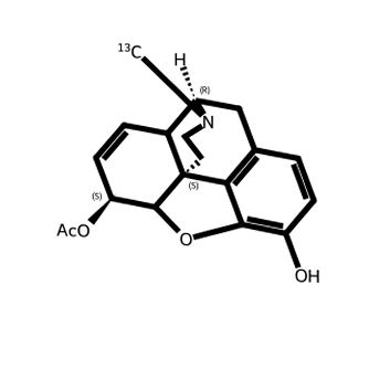 [13CH3][13C](=O)O[C@H]1C=CC2[C@H]3Cc4ccc(O)c5c4[C@@]2(CCN3[13CH3])C1O5